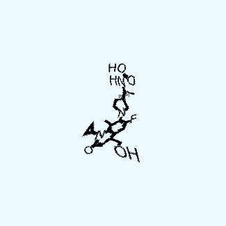 Cc1c(N2CC[C@@H]([C@H](C)NC(=O)O)C2)c(F)cc2c(CO)cc(=O)n(C3CC3)c12